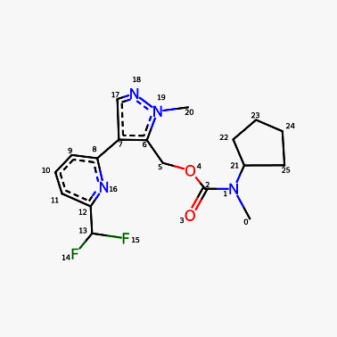 CN(C(=O)OCc1c(-c2cccc(C(F)F)n2)cnn1C)C1CCCC1